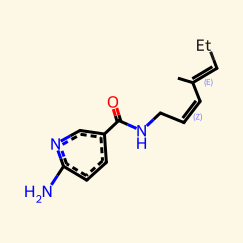 CC/C=C(C)/C=C\CNC(=O)c1ccc(N)nc1